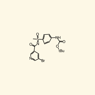 CC(C)(C)OC(=O)Nc1ccc(S(C)(=O)=NC(=O)c2cncc(Br)c2)cc1